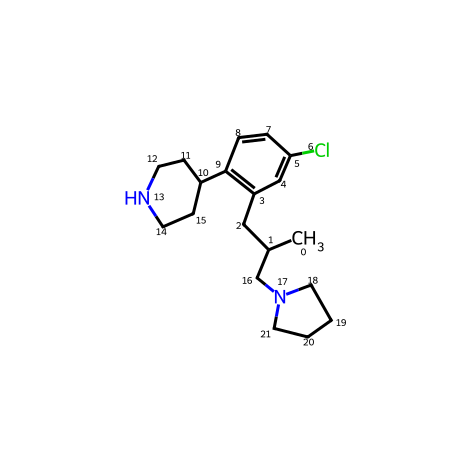 CC(Cc1cc(Cl)ccc1C1CCNCC1)CN1CCCC1